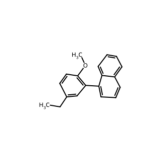 CCc1ccc(OC)c(-c2cccc3ccccc23)c1